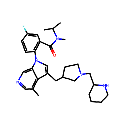 Cc1cncc2c1c(CC1CCN(CC3CCCCN3)C1)cn2-c1ccc(F)cc1C(=O)N(C)C(C)C